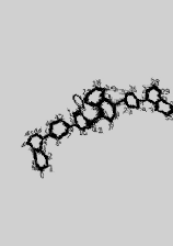 c1ccc2c(-c3ccc(-c4ccc5c(c4)Oc4cccc6c(-c7ccc(-c8cccc9ccccc89)cc7)ccc-5c46)cc3)cccc2c1